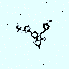 COc1ccc(CCN2C(=O)N(CC(C)C)C(=O)C23CCN(c2nccc(OC(C)(C)C=O)n2)CC3)cc1